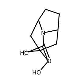 O=C(O)N1C2CCC1CC(F)(CO)C2